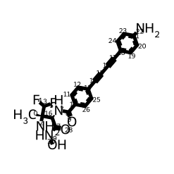 C[C@@](N)(C(F)F)[C@H](NC(=O)c1ccc(C#CC#Cc2ccc(N)cc2)cc1)C(=O)NO